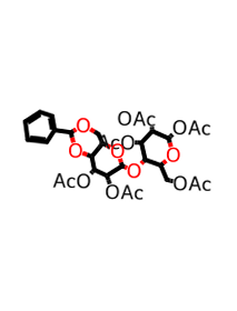 CC(=O)OCC1OC(OC(C)=O)C(OC(C)=O)C(OC(C)=O)C1OC1OC2COC(c3ccccc3)OC2C(OC(C)=O)C1OC(C)=O